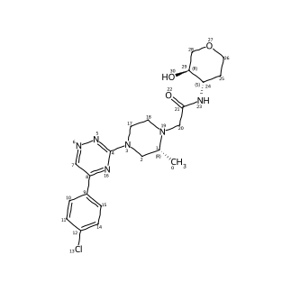 C[C@@H]1CN(c2nncc(-c3ccc(Cl)cc3)n2)CCN1CC(=O)N[C@H]1CCOC[C@@H]1O